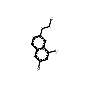 Clc1cc(Br)c2cc(CCBr)ccc2c1